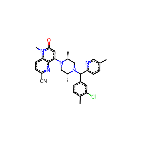 Cc1ccc(C(c2ccc(C)c(Cl)c2)N2C[C@H](C)N(c3cc(=O)n(C)c4ccc(C#N)nc34)C[C@H]2C)nc1